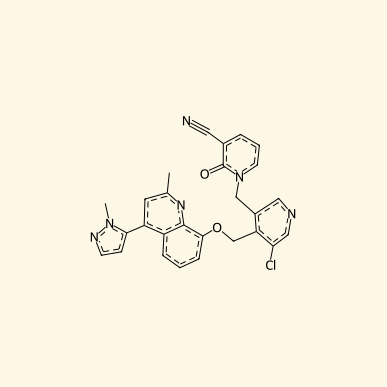 Cc1cc(-c2ccnn2C)c2cccc(OCc3c(Cl)cncc3Cn3cccc(C#N)c3=O)c2n1